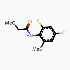 COCC(=O)Nc1c(F)cc(F)cc1SC